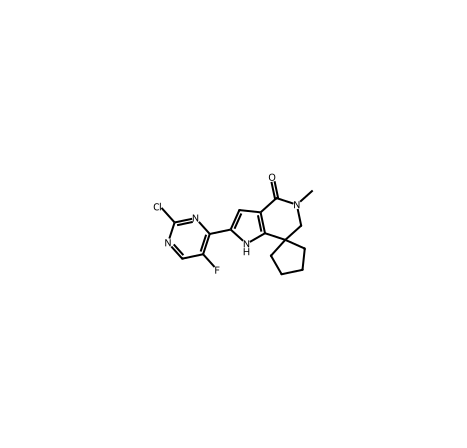 CN1CC2(CCCC2)c2[nH]c(-c3nc(Cl)ncc3F)cc2C1=O